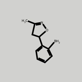 Bc1ccccc1C1CC(C)=NO1